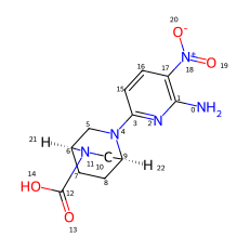 Nc1nc(N2C[C@@H]3CC[C@H]2CN3C(=O)O)ccc1[N+](=O)[O-]